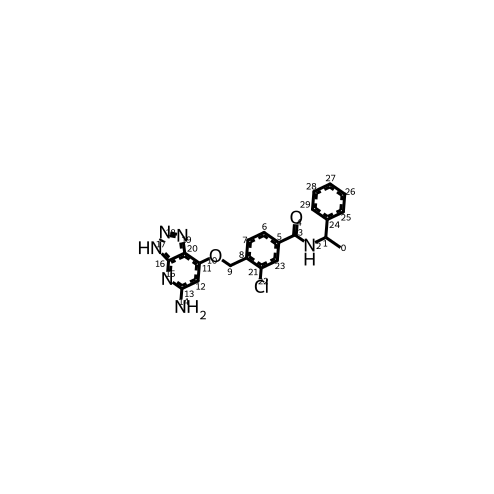 CC(NC(=O)c1ccc(COc2cc(N)nc3[nH]nnc23)c(Cl)c1)c1ccccc1